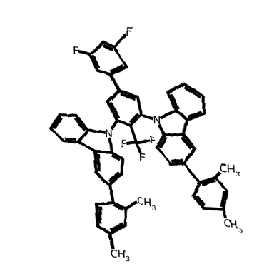 Cc1ccc(-c2ccc3c(c2)c2ccccc2n3-c2cc(-c3cc(F)cc(F)c3)cc(-n3c4ccccc4c4cc(-c5ccc(C)cc5C)ccc43)c2C(F)(F)F)c(C)c1